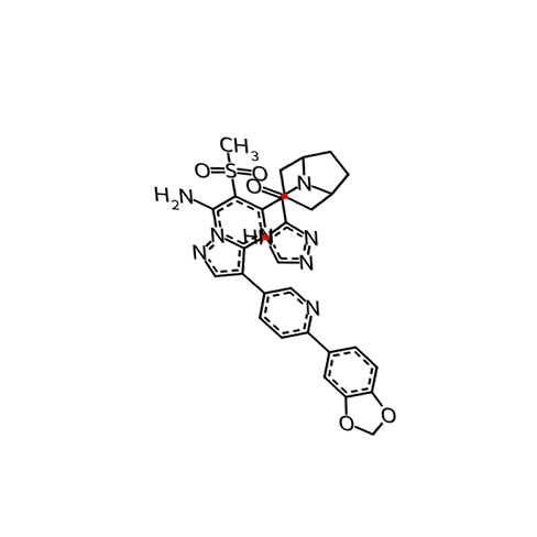 CS(=O)(=O)c1c(C2CC3CCC(C2)N3C(=O)c2nnc[nH]2)nc2c(-c3ccc(-c4ccc5c(c4)OCO5)nc3)cnn2c1N